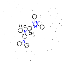 Cc1cc(-c2nc(-c3ccccc3)nc(-c3ccccc3)n2)cc(C)c1-n1c2ccccc2c2cc(-n3c4ccccc4c4ccccc43)ccc21